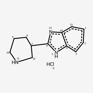 Cl.c1ccc2[nH]c(C3CCCNC3)nc2c1